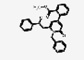 COC(=O)c1ccccc1-c1cc(CC(O)c2ccccc2)n(Cc2ccccc2)c(=O)c1